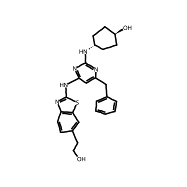 OCCc1ccc2nc(Nc3cc(Cc4ccccc4)nc(N[C@H]4CC[C@H](O)CC4)n3)sc2c1